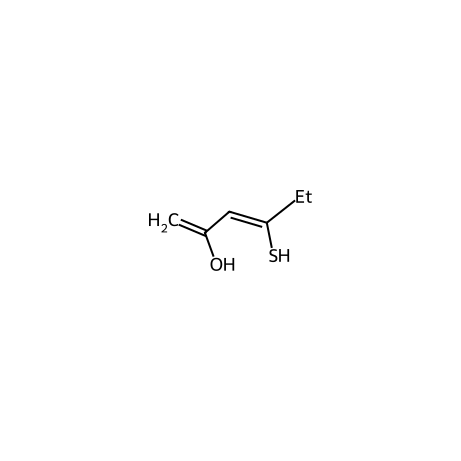 C=C(O)/C=C(\S)CC